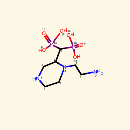 NCCN1CCNCC1C(P(=O)(O)O)P(=O)(O)O